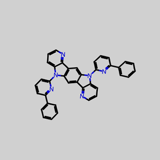 c1ccc(-c2cccc(-n3c4cc5c6ncccc6n(-c6cccc(-c7ccccc7)n6)c5cc4c4ncccc43)n2)cc1